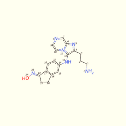 NCCCc1nc2cnccn2c1Nc1ccc2c(c1)CCC2=NO